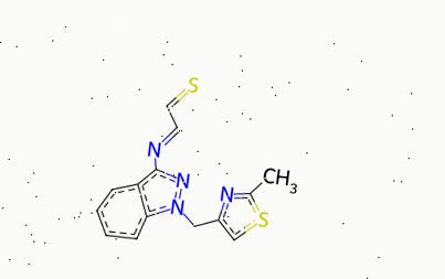 Cc1nc(Cn2nc(N=CC=S)c3ccccc32)cs1